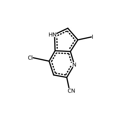 N#Cc1cc(Cl)c2[nH]cc(I)c2n1